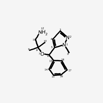 Cn1nccc1C(OC(C)(C)CN)c1ccccc1